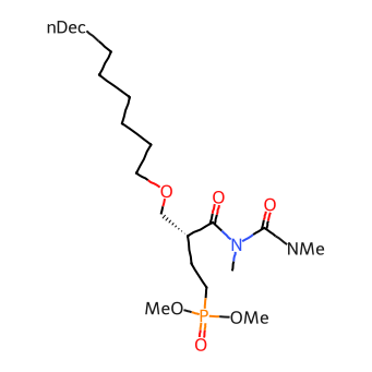 CCCCCCCCCCCCCCCCOC[C@@H](CCP(=O)(OC)OC)C(=O)N(C)C(=O)NC